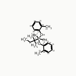 CCC(C)(C)P(P)(Br)(Oc1ccccc1C)Oc1ccccc1C